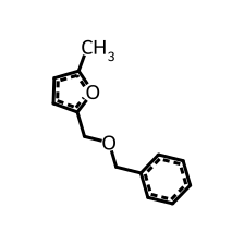 Cc1ccc(COCc2ccccc2)o1